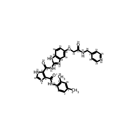 Cc1ccc(NC(=O)c2nc[nH]c2C(=O)Nc2nc3cc(OCC(=O)NCc4ccncc4)ccc3[nH]2)c(C)c1